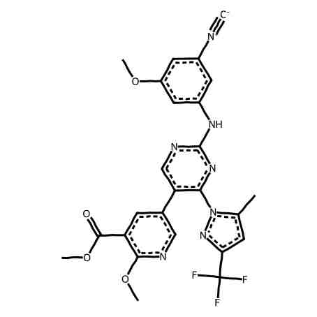 [C-]#[N+]c1cc(Nc2ncc(-c3cnc(OC)c(C(=O)OC)c3)c(-n3nc(C(F)(F)F)cc3C)n2)cc(OC)c1